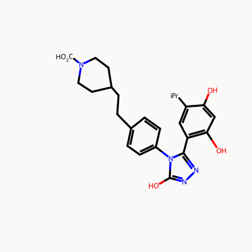 CC(C)c1cc(-c2nnc(O)n2-c2ccc(CCC3CCN(C(=O)O)CC3)cc2)c(O)cc1O